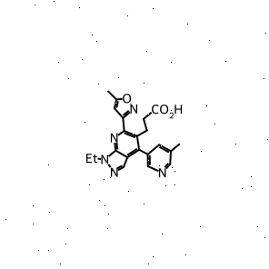 CCn1ncc2c(-c3cncc(C)c3)c(CCC(=O)O)c(-c3cc(C)on3)nc21